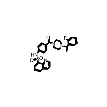 CC(c1ccccc1F)N1CCN(C(=O)c2ccc(NS(=O)(=O)c3cccc4cccnc34)cc2)CC1